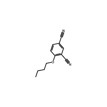 CCCCOc1ccc(C#N)cc1C#N